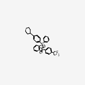 O=S(=O)(OS(c1ccccc1)(c1ccccc1)c1ccc(C2CCCCC2)cc1)c1ccc(C(F)(F)F)cc1